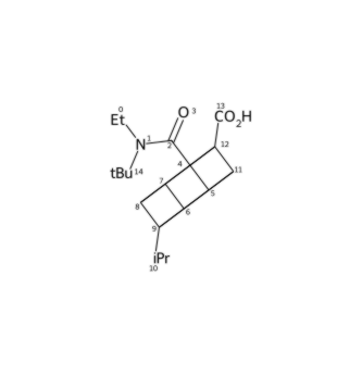 CCN(C(=O)C12C3C4C1C1C4(C(C)C)C3C12C(=O)O)C(C)(C)C